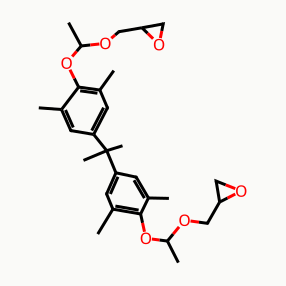 Cc1cc(C(C)(C)c2cc(C)c(OC(C)OCC3CO3)c(C)c2)cc(C)c1OC(C)OCC1CO1